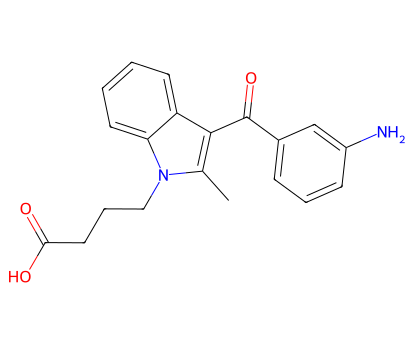 Cc1c(C(=O)c2cccc(N)c2)c2ccccc2n1CCCC(=O)O